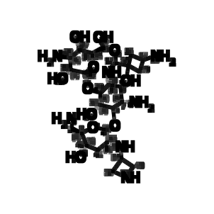 NC[C@H]1O[C@H](OC2[C@@H](N)C[C@@H](NC(=O)C3(O)CC(N)C3)[C@H](O[C@H]3O[C@H](CO)[C@@H](O)[C@H](N)[C@H]3O)[C@H]2O)[C@H](NC2CNC2)C[C@@H]1O